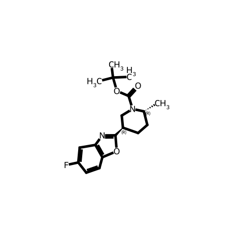 C[C@@H]1CC[C@@H](c2nc3cc(F)ccc3o2)CN1C(=O)OC(C)(C)C